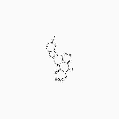 O=C(O)CC1Nc2cccnc2[SH](Cc2nc3cc(F)ccc3s2)C1=O